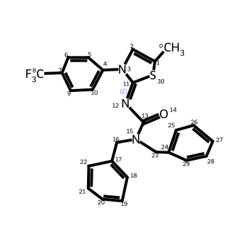 Cc1cn(-c2ccc(C(F)(F)F)cc2)/c(=N/C(=O)N(Cc2ccccc2)Cc2ccccc2)s1